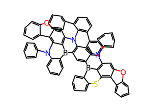 c1ccc(-c2cccc(-c3ccccc3)c2N2c3cc4c(cc3B3c5ccccc5N(c5ccccc5)c5c3c2cc2oc3ccccc3c52)B2c3ccccc3Sc3c2c(cc2oc5ccccc5c32)N4c2ccccc2)cc1